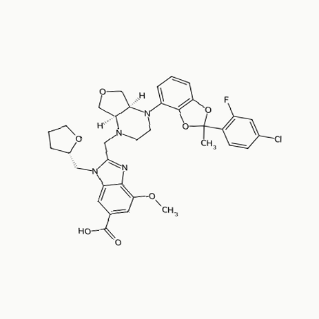 COc1cc(C(=O)O)cc2c1nc(CN1CCN(c3cccc4c3OC(C)(c3ccc(Cl)cc3F)O4)[C@@H]3COC[C@@H]31)n2C[C@@H]1CCCO1